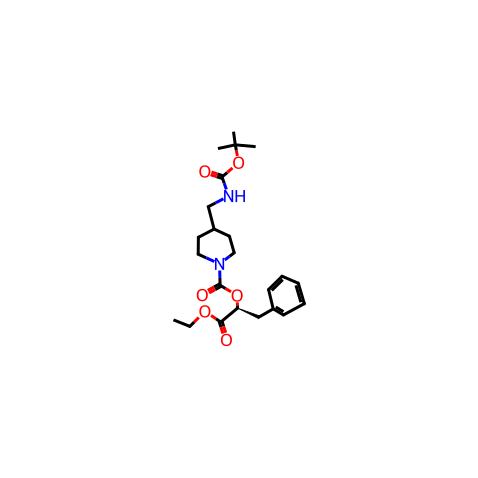 CCOC(=O)[C@H](Cc1ccccc1)OC(=O)N1CCC(CNC(=O)OC(C)(C)C)CC1